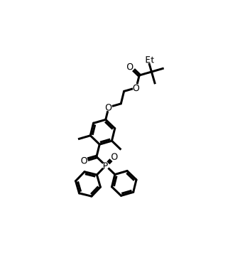 CCC(C)(C)C(=O)OCCOc1cc(C)c(C(=O)P(=O)(c2ccccc2)c2ccccc2)c(C)c1